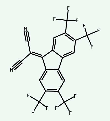 N#CC(C#N)=C1c2cc(C(F)(F)F)c(C(F)(F)F)cc2-c2cc(C(F)(F)F)c(C(F)(F)F)cc21